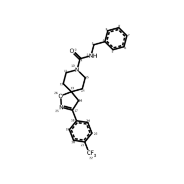 O=C(NCc1ccccc1)N1CCC2(CC1)CC(c1ccc(C(F)(F)F)cc1)=NO2